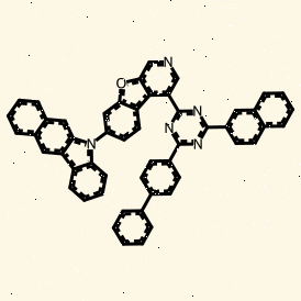 c1ccc(-c2ccc(-c3nc(-c4ccc5ccccc5c4)nc(-c4cncc5oc6cc(-n7c8ccccc8c8cc9ccccc9cc87)ccc6c45)n3)cc2)cc1